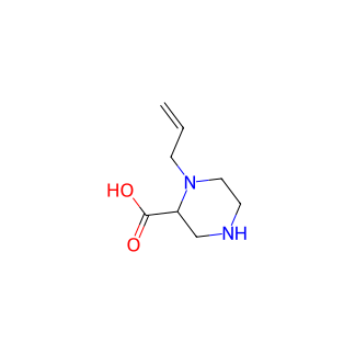 C=CCN1CCNCC1C(=O)O